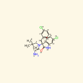 CC(C)(C)CN(CCN)[C@@]1(Cc2cccc(Cl)c2)C(=O)Nc2cc(Cl)ccc21